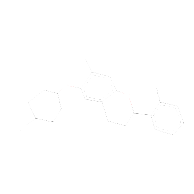 Cc1cc2c(cc1OC1CCC(C(=O)O)CC1)CCC(c1ccccc1C)O2